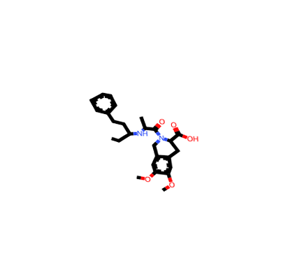 CCC(CCc1ccccc1)NC(C)C(=O)N1Cc2cc(OC)c(OC)cc2CC1C(=O)O